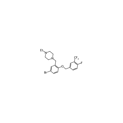 CCN1CCN(Cc2cc(Br)ccc2OCc2ccc(F)c(C(F)(F)F)c2)CC1